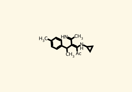 CC(=N)/C(=C(\NC1CC1)C(C)=O)C(C)c1ccc(C)cc1